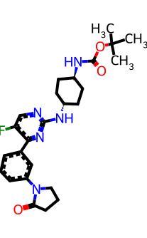 CC(C)(C)OC(=O)N[C@H]1CC[C@H](Nc2ncc(F)c(-c3cccc(N4CCCC4=O)c3)n2)CC1